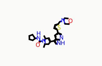 CC1C=C(c2c[nH]c3ncc(-c4ccc(CN5CCOCC5)s4)cc23)CC(C)N1C(=O)NC1CCCC1